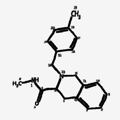 CNC(=O)C1Cc2ccccc2CN1Cc1ccc(C)cc1